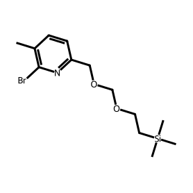 Cc1ccc(COCOCC[Si](C)(C)C)nc1Br